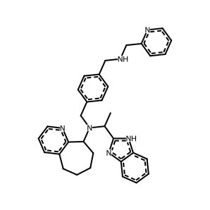 CC(c1nc2ccccc2[nH]1)N(Cc1ccc(CNCc2ccccn2)cc1)C1CCCCc2cccnc21